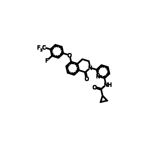 O=C(Nc1cccc(N2CCc3c(Oc4ccc(C(F)(F)F)c(F)c4)cccc3C2=O)n1)C1CC1